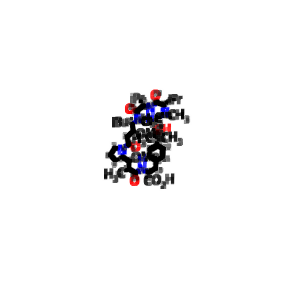 CC[C@@H](C)[C@H]([C@H](CC(=O)N1CCC[C@@H]1[C@@H](OC)[C@H](C)C(=O)N[C@H](Cc1ccc([Si](C)(C)O)cc1)C(=O)O)OC)N(C)C(=O)[C@H](NC(=O)[C@@H](C(C)C)N(C)C)C(C)C